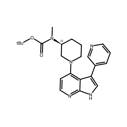 CN(C(=O)OC(C)(C)C)[C@H]1CCCN(c2ccnc3[nH]cc(-c4cccnc4)c23)C1